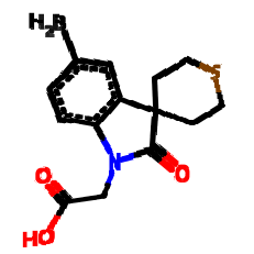 Bc1ccc2c(c1)C1(CCSCC1)C(=O)N2CC(=O)O